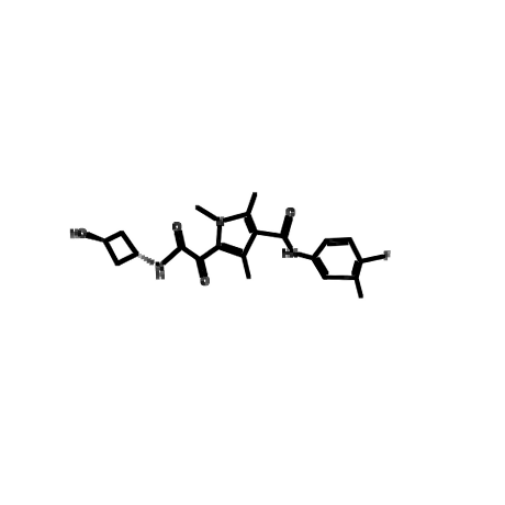 Cc1cc(NC(=O)c2c(C)c(C(=O)C(=O)N[C@H]3C[C@H](O)C3)n(C)c2C)ccc1F